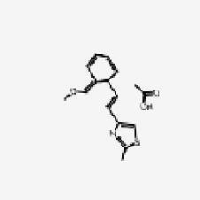 CC(=O)O.COC=C1C=CC=CC1C=Cc1csc(C)n1